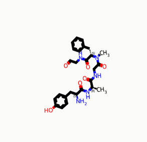 C[C@@H](NC(=O)[C@@H](N)Cc1ccc(O)cc1)C(=O)NCC(=O)N(C)[C@@H](Cc1ccccc1)C(=O)NC[C]=O